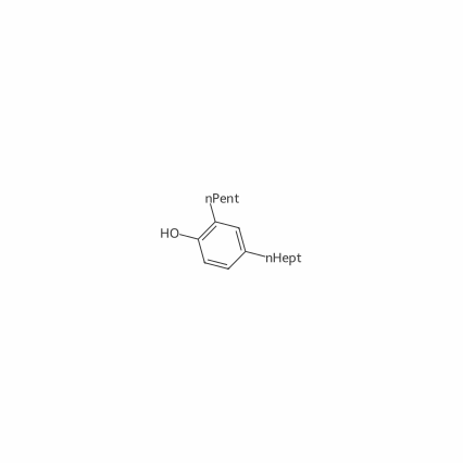 CCCCCCCc1ccc(O)c(CCCCC)c1